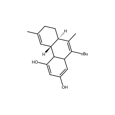 CCCCC1=C(C)[C@@H]2CCC(C)=C[C@H]2C2C(O)=CC(O)=CC12